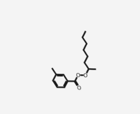 CCCCCC[C](C)OOC(=O)c1cccc(C)c1